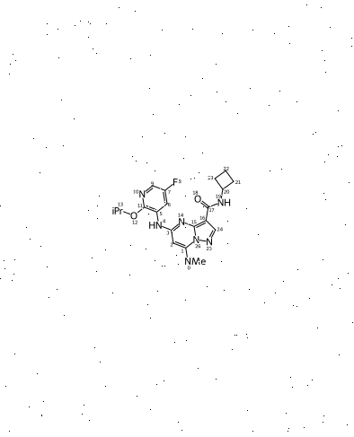 CNc1cc(Nc2cc(F)cnc2OC(C)C)nc2c(C(=O)NC3CCC3)cnn12